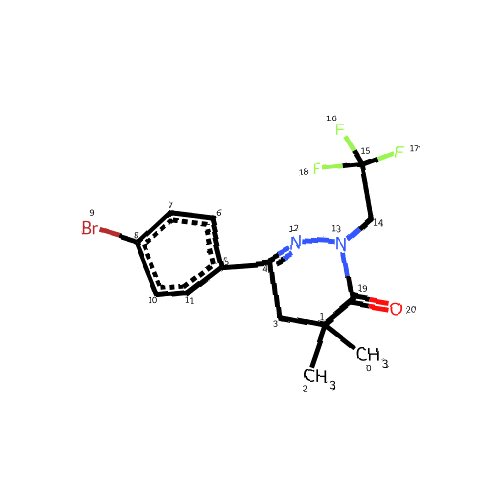 CC1(C)CC(c2ccc(Br)cc2)=NN(CC(F)(F)F)C1=O